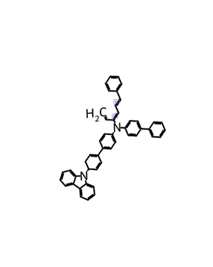 C=C/C(=C\C=C\c1ccccc1)N(c1ccc(C2=CCC(n3c4ccccc4c4ccccc43)C=C2)cc1)c1ccc(-c2ccccc2)cc1